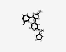 CCc1nc(-c2cccc(C)c2)c(-c2ccnc(NC3CCCC3)c2)s1